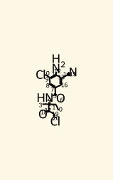 CCC(C)(NC(=O)c1cc(Cl)c(N)c(C#N)c1)C(=O)CCl